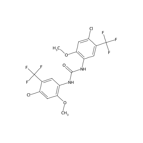 COc1cc(Cl)c(C(F)(F)F)cc1NC(=O)Nc1cc(C(F)(F)F)c(Cl)cc1OC